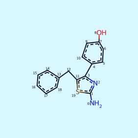 Nc1nc(-c2ccc(O)cc2)c(Cc2ccccc2)s1